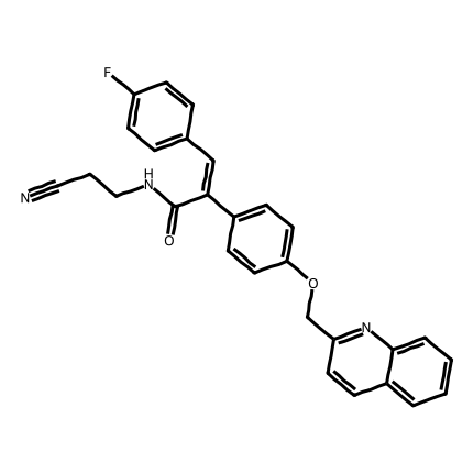 N#CCCNC(=O)C(=Cc1ccc(F)cc1)c1ccc(OCc2ccc3ccccc3n2)cc1